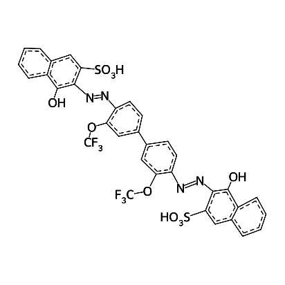 O=S(=O)(O)c1cc2ccccc2c(O)c1/N=N/c1ccc(-c2ccc(/N=N/c3c(S(=O)(=O)O)cc4ccccc4c3O)c(OC(F)(F)F)c2)cc1OC(F)(F)F